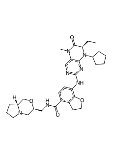 CC[C@@H]1C(=O)N(C)c2cnc(Nc3ccc(C(=O)NC[C@H]4CN5CCC[C@@H]5CO4)c4c3OCC4)nc2N1C1CCCC1